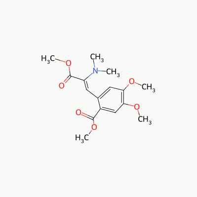 COC(=O)C(=Cc1cc(OC)c(OC)cc1C(=O)OC)N(C)C